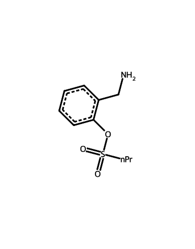 CCCS(=O)(=O)Oc1ccccc1CN